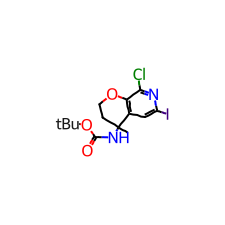 CC(C)(C)OC(=O)NC1(C)CCOc2c1cc(I)nc2Cl